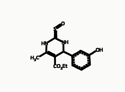 CCOC(=O)C1=C(C)NC(=S=O)NC1c1cccc(O)c1